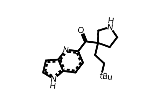 CC(C)(C)CCC1(C(=O)c2ccc3[nH]ccc3n2)CCNC1